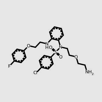 NCCOCCN(c1ccccc1NCCOc1ccc(F)cc1)S(=O)(=O)c1ccc(Cl)cc1